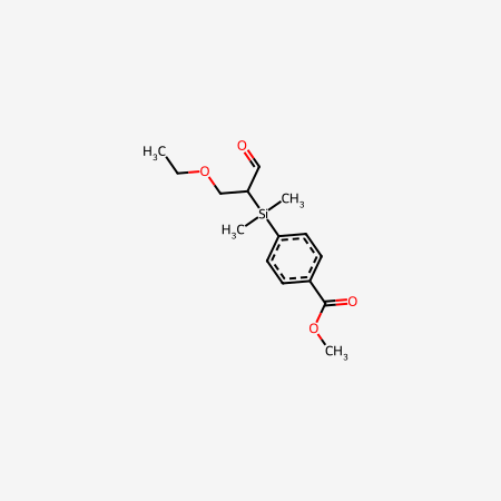 CCOCC(C=O)[Si](C)(C)c1ccc(C(=O)OC)cc1